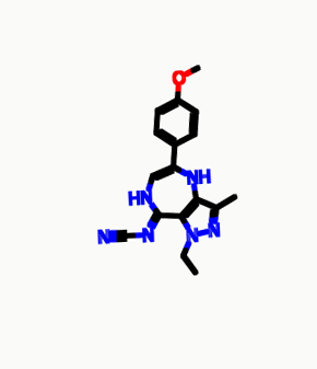 CCn1nc(C)c2c1C(=NC#N)NC=C(c1ccc(OC)cc1)N2